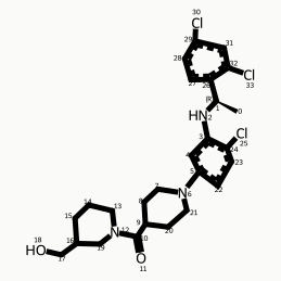 C[C@@H](Nc1cc(N2CCC(C(=O)N3CCCC(CO)C3)CC2)ccc1Cl)c1ccc(Cl)cc1Cl